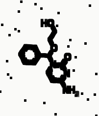 Nc1ccn(C(OCCO)c2ccccc2)c(=O)n1